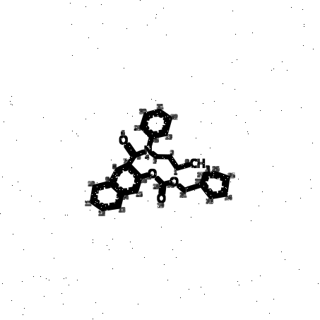 CCCCN(C(=O)c1cc2ccccc2cc1OC(=O)OCc1ccccc1)c1ccccc1